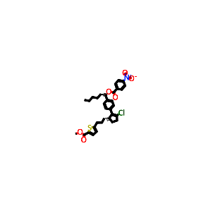 CCCCC[C@@H](OC(=O)c1ccc([N+](=O)[O-])cc1)c1ccc(C2=C(Cl)CC[C@@H]2CCCc2ccc(C(=O)OC)s2)cc1